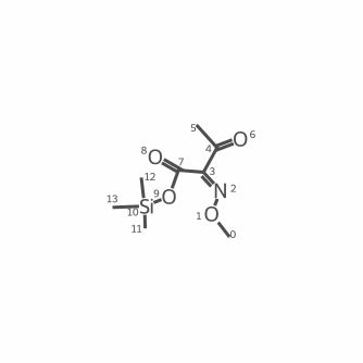 CON=C(C(C)=O)C(=O)O[Si](C)(C)C